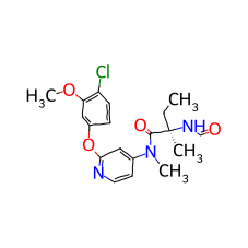 CC[C@@](C)(NC=O)C(=O)N(C)c1ccnc(Oc2ccc(Cl)c(OC)c2)c1